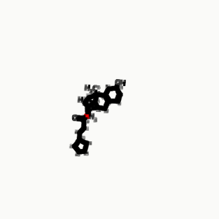 CN1CC[C@]2(C)C3=C(C=CC(O)C3)CC1[C@@]2(C)CCC(=O)CCC1CCCC1